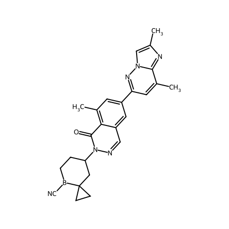 Cc1cn2nc(-c3cc(C)c4c(=O)n(C5CCB(C#N)C6(CC6)C5)ncc4c3)cc(C)c2n1